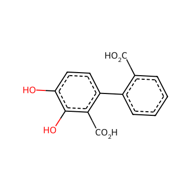 O=C(O)c1ccccc1-c1ccc(O)c(O)c1C(=O)O